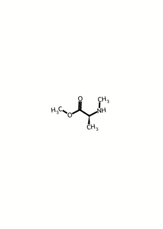 CN[C@@H](C)C(=O)OC